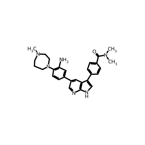 CN1CCCN(c2ccc(-c3cnc4[nH]cc(-c5ccc(C(=O)N(C)C)cc5)c4c3)cc2N)CC1